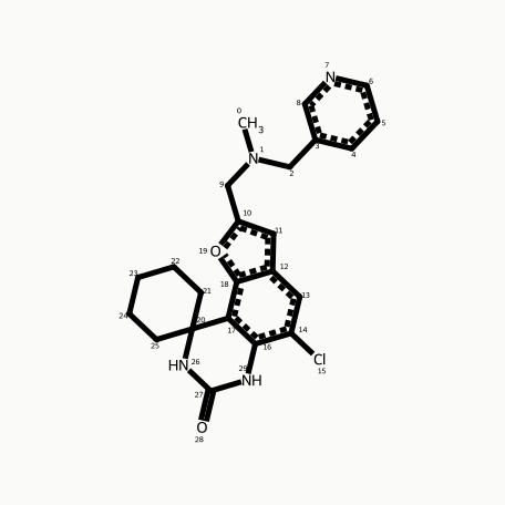 CN(Cc1cccnc1)Cc1cc2cc(Cl)c3c(c2o1)C1(CCCCC1)NC(=O)N3